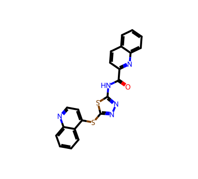 O=C(Nc1nnc(Sc2ccnc3ccccc23)s1)c1ccc2ccccc2n1